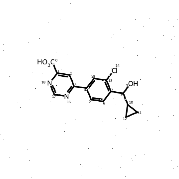 O=C(O)c1cc(-c2ccc(C(O)C3CC3)c(Cl)c2)ncn1